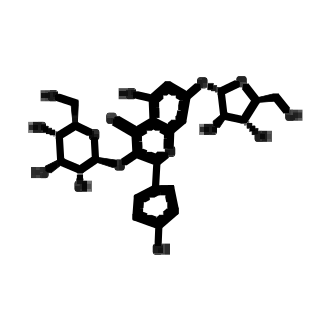 O=c1c(O[C@@H]2O[C@H](CO)[C@@H](O)[C@H](O)[C@H]2O)c(-c2ccc(O)cc2)oc2cc(O[C@@H]3O[C@@H](CO)[C@H](O)[C@H]3O)cc(O)c12